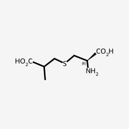 CC(CSC[C@H](N)C(=O)O)C(=O)O